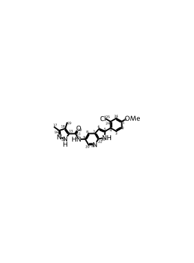 COc1ccc(-c2cc3cc(NC(=O)c4[nH]nc(C)c4C)cnc3[nH]2)c(Cl)c1